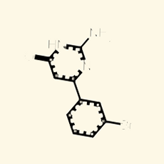 Nc1nc(-c2cccc(Br)c2)cc(=O)[nH]1